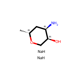 C[C@@H]1C[C@@H](N)[C@@H](O)[CH]O1.[NaH].[NaH]